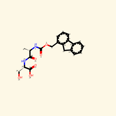 C[C@H](NC(=O)OCc1cccc2c1Cc1ccccc1-2)C(=O)N[C@@H](CO)C(=O)O